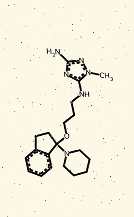 Cn1nc(N)nc1NCCCOC1(N2CCCCC2)CCc2ccccc21